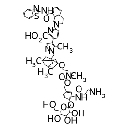 Cc1c(-c2ccc(N3CCc4cccc(C(=O)Nc5nc6ccccc6s5)c4C3)nc2C(=O)O)cnn1CC12CC3(C)CC(C)(C1)CC(OCCN(C)C(=O)OCc1ccc(O[C@@H]4O[C@H](CO)[C@H](O)[C@H](O)[C@H]4O)c(NC(=O)CCN)c1)(C3)C2